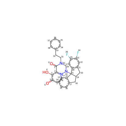 O=C1c2c(O)c(=O)ccn2N(C23c4ccccc4CC2Cc2cc(F)c(F)cc23)CN1CCc1ccccc1